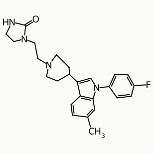 Cc1ccc2c(C3CCN(CCN4CCNC4=O)CC3)cn(-c3ccc(F)cc3)c2c1